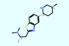 C[C@H]1CC[C@H](c2ccc3sc(C[C@H](C)N(C)C)nc3c2)NC1